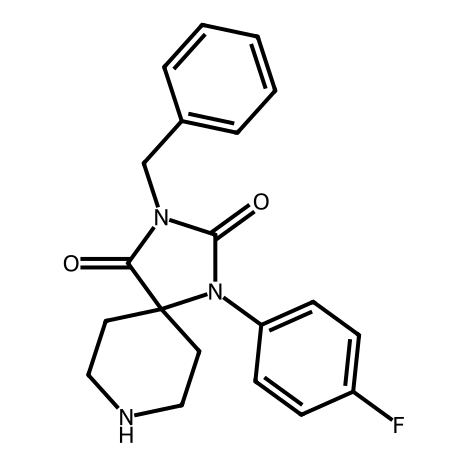 O=C1N(Cc2ccccc2)C(=O)C2(CCNCC2)N1c1ccc(F)cc1